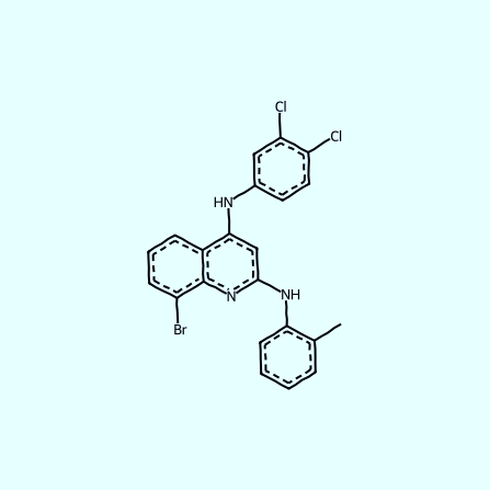 Cc1ccccc1Nc1cc(Nc2ccc(Cl)c(Cl)c2)c2cccc(Br)c2n1